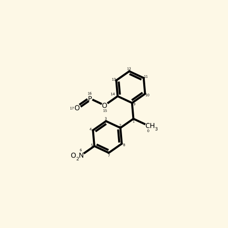 CC(c1ccc([N+](=O)[O-])cc1)c1ccccc1OP=O